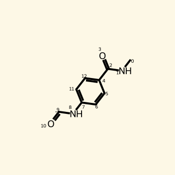 CNC(=O)c1ccc(N[C]=O)cc1